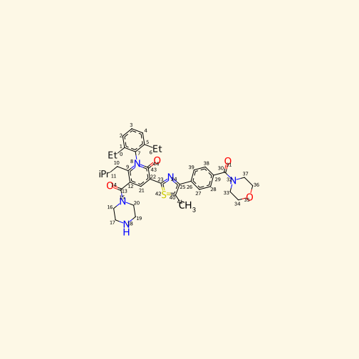 CCc1cccc(CC)c1-n1c(CC(C)C)c(C(=O)N2CCNCC2)cc(-c2nc(-c3ccc(C(=O)N4CCOCC4)cc3)c(C)s2)c1=O